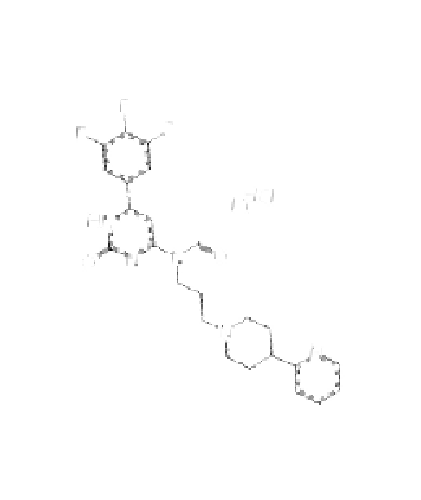 Cl.Cl.O=CN(CCCN1CCC(c2ccccn2)CC1)c1cc(-c2cc(F)c(F)c(F)c2)[nH]c(=O)n1